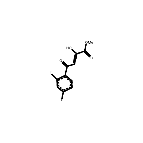 COC(=O)C(O)=CC(=O)c1ccc(F)cc1F